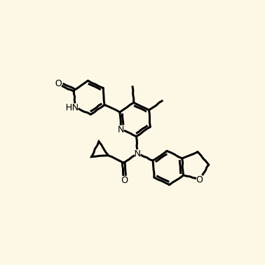 Cc1cc(N(C(=O)C2CC2)c2ccc3c(c2)CCO3)nc(-c2ccc(=O)[nH]c2)c1C